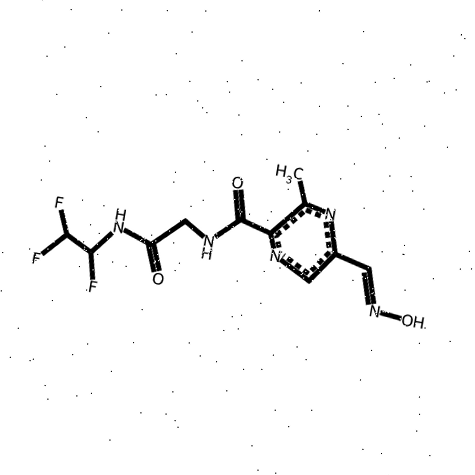 Cc1nc(C=NO)cnc1C(=O)NCC(=O)NC(F)C(F)F